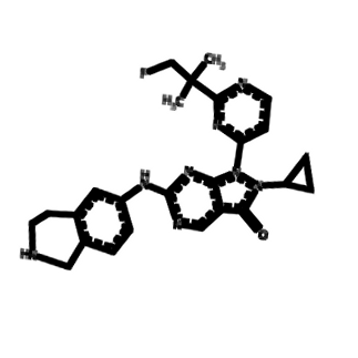 CC(C)(CF)c1nccc(-n2c3nc(Nc4ccc5c(c4)CCNC5)ncc3c(=O)n2C2CC2)n1